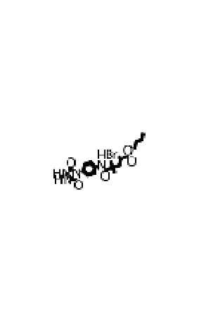 CCCCOC(=O)C(Br)CC(C)(C)C(=O)Nc1ccc(-n2c(=O)[nH][nH]c2=O)cc1